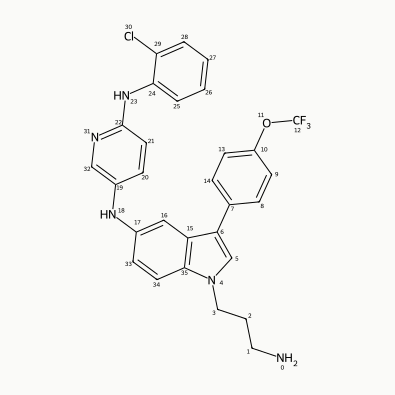 NCCCn1cc(-c2ccc(OC(F)(F)F)cc2)c2cc(Nc3ccc(Nc4ccccc4Cl)nc3)ccc21